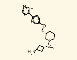 N[C@H]1C[C@@H]([S+]([O-])N2CCC[C@@H](COc3ccc(-c4ccn[nH]4)nc3)C2)C1